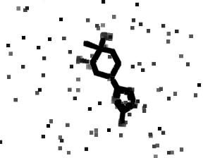 C[C@@]1(O)CCN(c2nnc(Br)s2)C[C@@H]1F